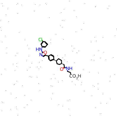 O=C(O)CCNC(=O)C[C@H]1CC[C@@H](c2ccc(-c3cnc(Nc4cccc(Cl)c4)o3)cc2)CC1